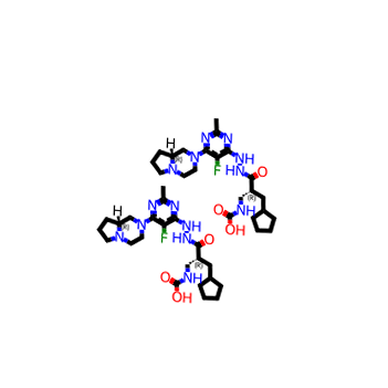 Cc1nc(NNC(=O)[C@@H](CNC(=O)O)CC2CCCC2)c(F)c(N2CCN3CCC[C@@H]3C2)n1.Cc1nc(NNC(=O)[C@@H](CNC(=O)O)CC2CCCC2)c(F)c(N2CCN3CCC[C@@H]3C2)n1